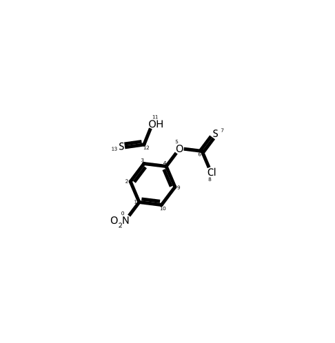 O=[N+]([O-])c1ccc(OC(=S)Cl)cc1.OC=S